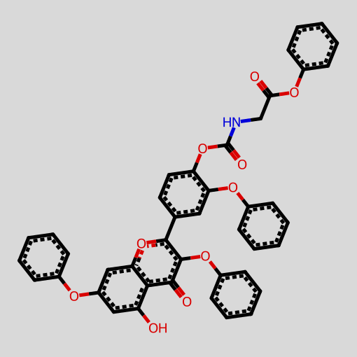 O=C(CNC(=O)Oc1ccc(-c2oc3cc(Oc4ccccc4)cc(O)c3c(=O)c2Oc2ccccc2)cc1Oc1ccccc1)Oc1ccccc1